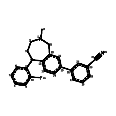 CN1CCC(c2ccccc2F)c2ccc(-c3cccc(C#N)c3)cc2C1